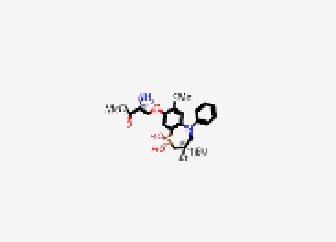 CCCC[C@@]1(CC)CN(c2ccccc2)c2cc(SC)c(OC[C@@H](N)C(=O)OC)cc2S(O)(O)C1